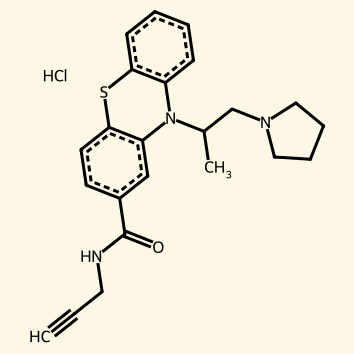 C#CCNC(=O)c1ccc2c(c1)N(C(C)CN1CCCC1)c1ccccc1S2.Cl